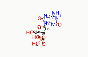 NC1=NC(=O)N=C2C1=NC(=O)N2[C@H]1C[C@H](OP(=O)(O)O)[C@@H](CO)O1